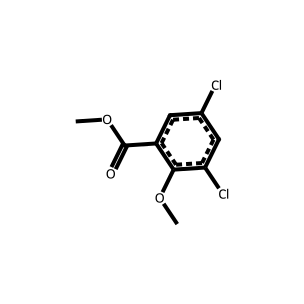 COC(=O)c1cc(Cl)cc(Cl)c1OC